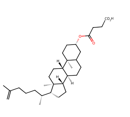 C=C(C)CCC[C@@H](C)[C@H]1CC[C@H]2[C@@H]3CCC4C[C@@H](OC(=O)CCC(=O)O)CC[C@]4(C)[C@H]3CC[C@]12C